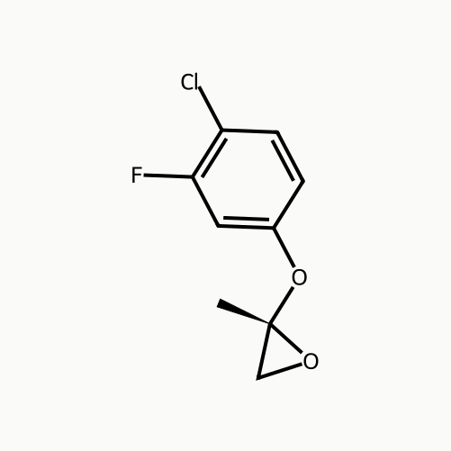 C[C@]1(Oc2ccc(Cl)c(F)c2)CO1